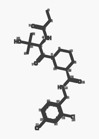 CCC(=O)N[C@@H](C(=O)N1CCC[C@@H](C(=O)NCc2ccc(Cl)cc2Cl)C1)C(C)(C)O